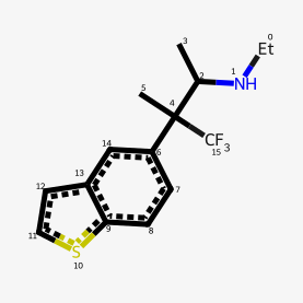 CCNC(C)C(C)(c1ccc2sccc2c1)C(F)(F)F